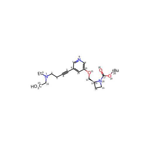 CCN(CCC#Cc1cncc(OC[C@@H]2CCN2C(=O)OC(C)(C)C)c1)CC(=O)O